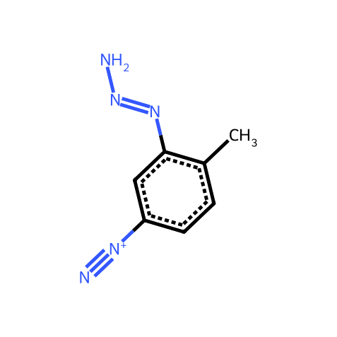 Cc1ccc([N+]#N)cc1N=NN